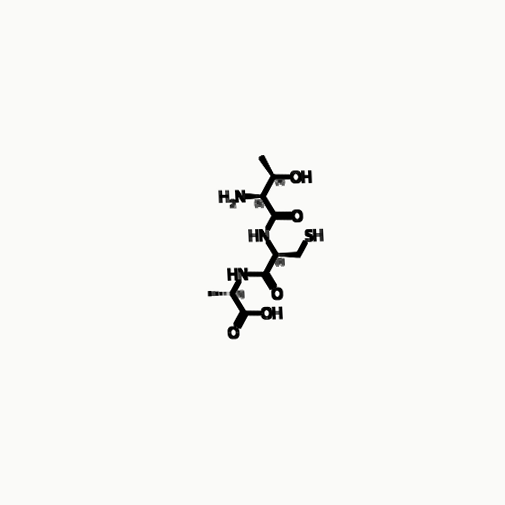 C[C@H](NC(=O)[C@H](CS)NC(=O)[C@@H](N)[C@@H](C)O)C(=O)O